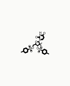 Cc1ccc(S(=O)(=O)OCC2O[C@@H](n3ccc(=O)[nH]c3=O)[C@](C)(F)[C@@H]2OS(=O)(=O)c2ccc(C)cc2)cc1